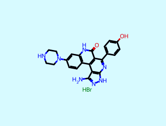 Br.Nc1n[nH]c2nc(-c3ccc(O)cc3)c3c(=O)[nH]c4cc(N5CCNCC5)ccc4c3c12